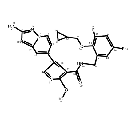 CCOc1ncc(-c2ccn3nc(N)nc3c2)cc1C(=O)NCc1cc(F)cc(F)c1OCC1CC1